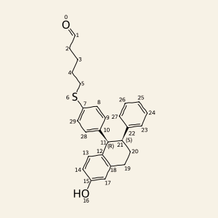 O=CCCCCSc1ccc([C@@H]2c3ccc(O)cc3CC[C@@H]2c2ccccc2)cc1